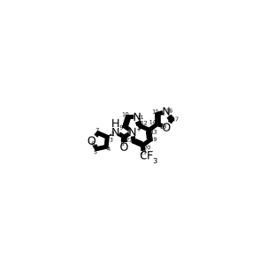 O=C(N[C@@H]1CCOC1)[N+]12C=CN=C1C(c1cnco1)=CC(C(F)(F)F)=C2